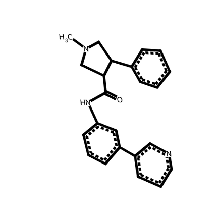 CN1CC(C(=O)Nc2cccc(-c3cccnc3)c2)C(c2ccccc2)C1